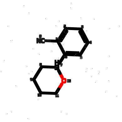 N#Cc1ccccc1[SiH]1CCCCO1